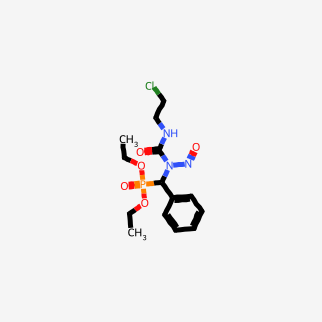 CCOP(=O)(OCC)C(c1ccccc1)N(N=O)C(=O)NCCCl